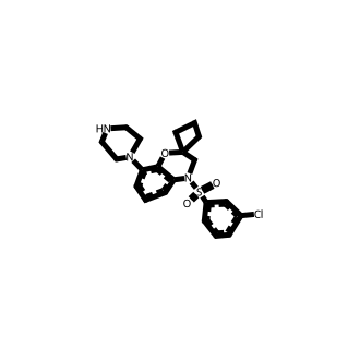 O=S(=O)(c1cccc(Cl)c1)N1CC2(CCC2)Oc2c(N3CCNCC3)cccc21